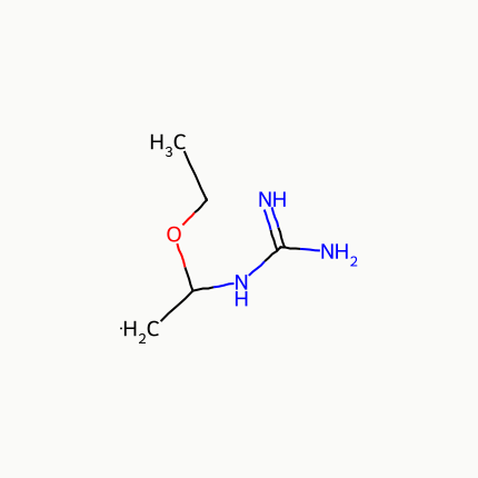 [CH2]C(NC(=N)N)OCC